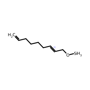 C=CCCCC/C=C/CO[SiH3]